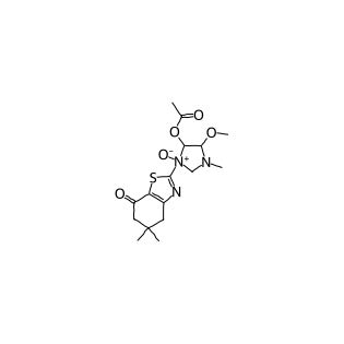 COC1C(OC(C)=O)[N+]([O-])(c2nc3c(s2)C(=O)CC(C)(C)C3)CN1C